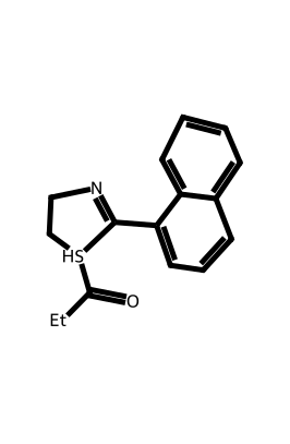 CCC(=O)[SH]1CCN=C1c1cccc2ccccc12